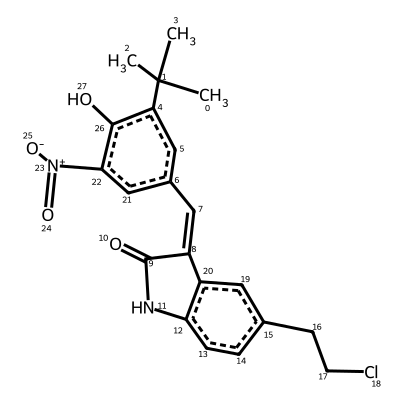 CC(C)(C)c1cc(C=C2C(=O)Nc3ccc(CCCl)cc32)cc([N+](=O)[O-])c1O